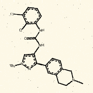 CN1CCc2cc(-c3nn(C(C)(C)C)cc3NC(=O)Nc3cccc(Cl)c3Cl)ccc2C1